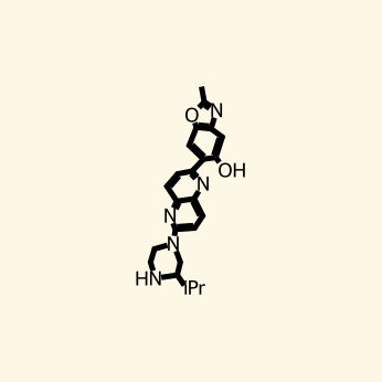 Cc1nc2cc(O)c(-c3ccc4nc(N5CCNC(C(C)C)C5)ccc4n3)cc2o1